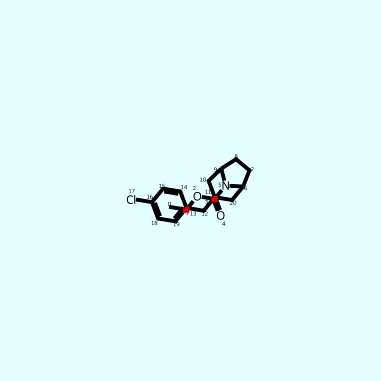 CCOC(=O)N1C2CCC1CC(Cc1ccc(Cl)cc1)C2